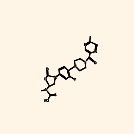 Cc1cnc(C(=O)N2CCN(c3ccc(N4CC(N(C)C(O)=S)OC4=O)cc3F)CC2)cn1